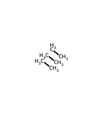 CC.CC.CC